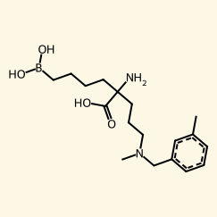 Cc1cccc(CN(C)CCCC(N)(CCCCB(O)O)C(=O)O)c1